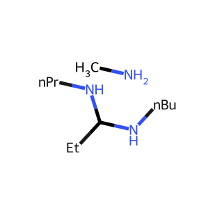 CCCCNC(CC)NCCC.CN